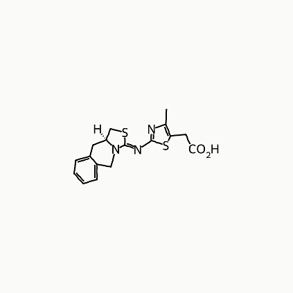 Cc1nc(N=C2SC[C@@H]3Cc4ccccc4CN23)sc1CC(=O)O